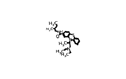 CCC(C)CNC(=O)c1ccc2c(c1)N(C(C)CN(CC)CC)c1ccccc1S2